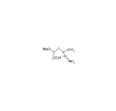 COC(CC(C)ON)C(=O)O